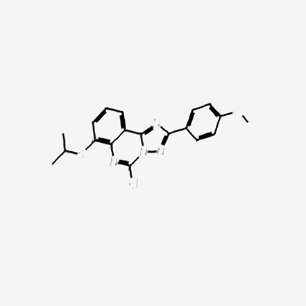 COc1ccc(-c2nc3c4cccc(SC(C)C)c4nc(Cl)n3n2)cc1